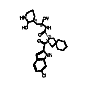 N#C[C@H](C[C@@H]1CCCNC1O)NC(=O)[C@@H]1CC2(CCCCC2)CN1C(=O)c1cc2ccc(Cl)cc2[nH]1